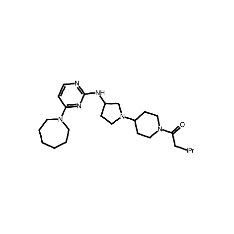 CC(C)CC(=O)N1CCC(N2CCC(Nc3nccc(N4CCCCCC4)n3)C2)CC1